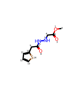 COC(=O)CNNC(=O)Cc1cccs1